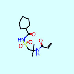 C=CC(=O)NC(C)(C)CS(=O)(=O)NC(=O)C1CCCCC1